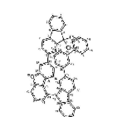 CC1(C)c2ccccc2-c2ccc(-c3ccc4c(c3)oc3cccc(-n5c6ccccc6c6ccc(-c7cccc(-c8ccccc8)c7)cc65)c34)cc21